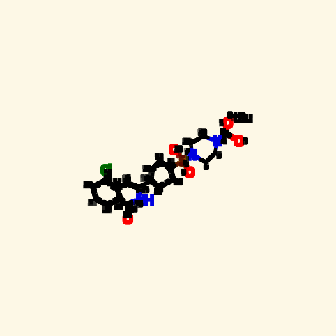 CC(C)(C)OC(=O)N1CCN(S(=O)(=O)c2ccc(-c3cc4c(Cl)cccc4c(=O)[nH]3)cc2)CC1